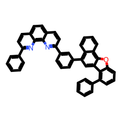 c1ccc(-c2ccc3ccc4ccc(-c5cccc(-c6cc7c(oc8cccc(-c9ccccc9)c87)c7ccccc67)c5)nc4c3n2)cc1